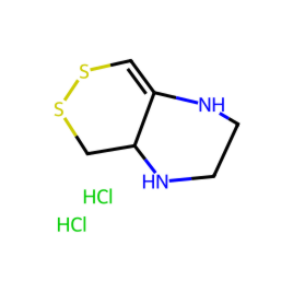 C1=C2NCCNC2CSS1.Cl.Cl